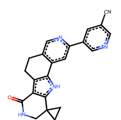 N#Cc1cncc(-c2cc3c(cn2)CCc2c-3[nH]c3c2C(=O)NCC32CC2)c1